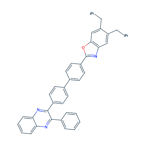 CC(C)Cc1cc2nc(-c3ccc(-c4ccc(-c5nc6ccccc6nc5-c5ccccc5)cc4)cc3)oc2cc1CC(C)C